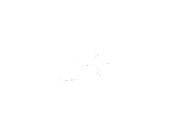 NC[CH]([PbH])S(=O)(=O)O